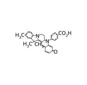 Cc1ccc2c(c1)C(C)(C)C1=C3C=C4C=CC(=O)C=C4N(c4ccc(C(=O)O)cc4)C3CCN12